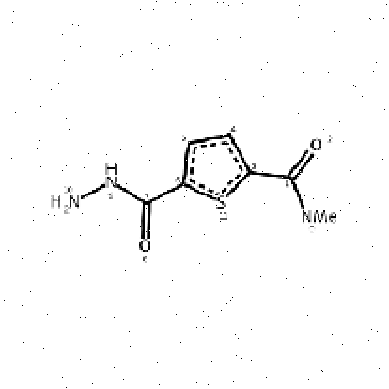 CNC(=O)c1ccc(C(=O)NN)s1